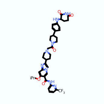 CC(C)Oc1cc2nc(C3CCN(CC(=O)N4CCC(c5ccc(NC6CCC(=O)NC6=O)cc5)CC4)CC3)cn2cc1C(=O)Nc1cccc(C(F)(F)F)n1